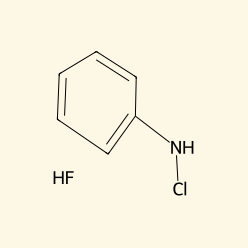 ClNc1ccccc1.F